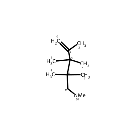 C=C(C)C(C)(C)C(C)(C)CNC